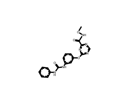 CONC(=O)c1ncnc(Oc2cccc(NC(=O)Nc3ccccc3)c2)n1